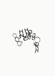 O=C(Nc1c2c(cc3c1CCC3)CCC2)NS(=O)(=O)c1cc2c(o1)CCCc1c[nH]nc1-2